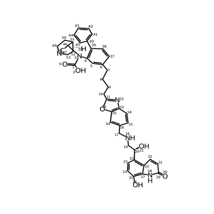 O=C(O)N(c1cc(CCCCc2nc3ccc(CNC[C@@H](O)c4ccc(O)c5[nH]c(=O)ccc45)cc3o2)ccc1-c1ccccc1)[C@H]1CN2CCC1CC2